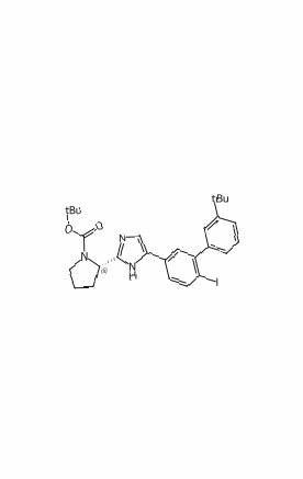 CC(C)(C)OC(=O)N1CCC[C@H]1c1ncc(-c2ccc(I)c(-c3cccc(C(C)(C)C)c3)c2)[nH]1